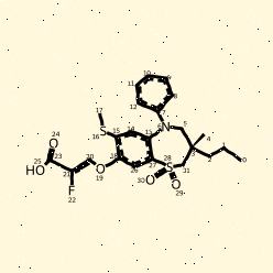 CCC[C@@]1(C)CN(c2ccccc2)c2cc(SC)c(O/C=C(\F)C(=O)O)cc2S(=O)(=O)C1